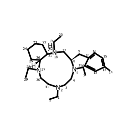 CCN1CCN(CC)[C@H](Cc2ccc(C)cc2)CN(CC)[C@@H]2CCCC[C@H]2N(CC)CC1